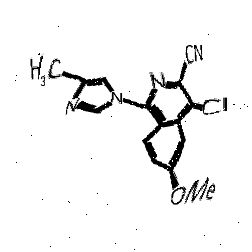 COc1ccc2c(-n3cnc(C)c3)nc(C#N)c(Cl)c2c1